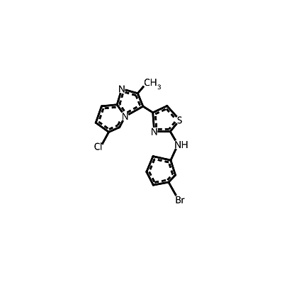 Cc1nc2ccc(Cl)cn2c1-c1csc(Nc2cccc(Br)c2)n1